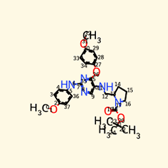 COc1ccc(Nc2ncc(NCC3CCCN3C(=O)OC(C)(C)C)c(Oc3ccc(OC)cc3)n2)cc1